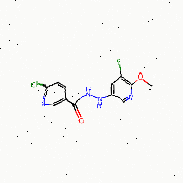 COc1ncc(NNC(=O)c2ccc(Cl)nc2)cc1F